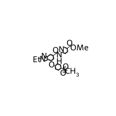 CCn1cc2c(Oc3ccc(S(C)(=O)=O)cc3)cc(C(=O)Nc3ccc(C(=O)OC)cn3)cc2n1